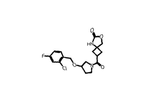 O=C1NC2(CO1)CC(C(=O)N1CCC(OCc3ccc(F)cc3Cl)C1)C2